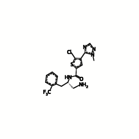 Cn1ncnc1-c1cc(C(=O)N[C@H](CN)Cc2ccccc2C(F)(F)F)sc1Cl